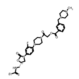 CCC(=S)NC[C@H]1CN(c2ccc(N3CCN(C(=O)COC(=O)c4cccc(CN5CCN(C)CC5)c4)CC3)c(F)c2)C(=O)O1